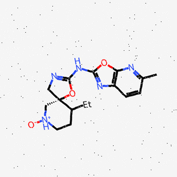 CCC1CC[NH+]([O-])C[C@@]12CN=C(Nc1nc3ccc(C)nc3o1)O2